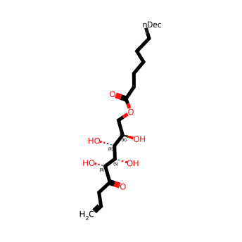 C=CCC(=O)[C@H](O)[C@@H](O)[C@H](O)[C@H](O)COC(=O)CCCCCCCCCCCCCCC